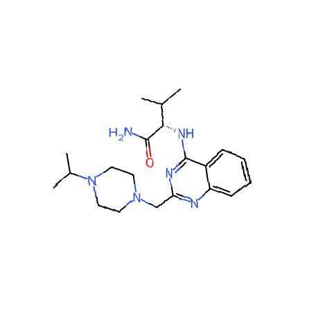 CC(C)[C@H](Nc1nc(CN2CCN(C(C)C)CC2)nc2ccccc12)C(N)=O